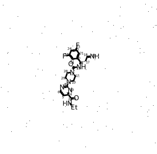 CCNC(=O)c1ccnc(N2CCN(C(=O)N[C@@H](CC=N)c3cc(F)cc(F)c3)CC2)n1